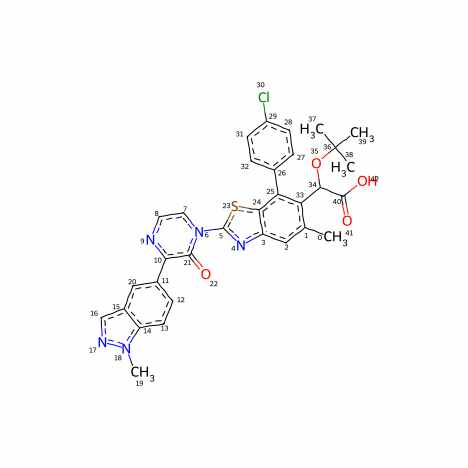 Cc1cc2nc(-n3ccnc(-c4ccc5c(cnn5C)c4)c3=O)sc2c(-c2ccc(Cl)cc2)c1C(OC(C)(C)C)C(=O)O